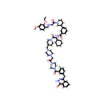 CCOc1cc(OC)ccc1CNCC(=O)N1CCCC(c2cccc(C(=O)N[C@@H](C(=O)N3CCC(CN4CCN(CC(=O)N5CCN(C(=O)c6cc(Cc7n[nH]c(=O)c8ccccc78)ccc6F)CC5)CC4)CC3)C3CCCCC3)c2)C1